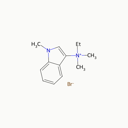 CC[N+](C)(C)c1cn(C)c2ccccc12.[Br-]